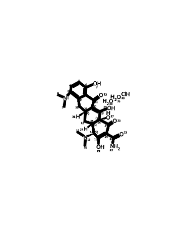 CN(C)c1ccc(O)c2c1C[C@H]1C[C@H]3[C@H](N(C)C)C(O)=C(C(N)=O)C(=O)[C@@]3(O)C(O)=C1C2=O.Cl.O.O